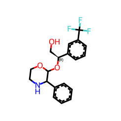 OC[C@H](OC1OCCNC1c1ccccc1)c1cccc(C(F)(F)F)c1